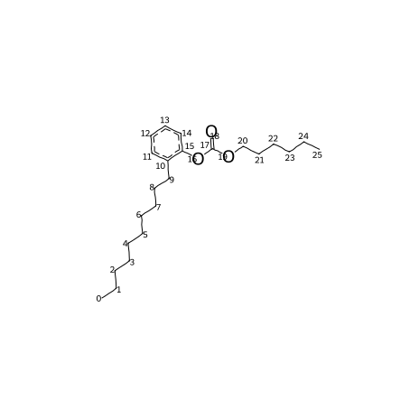 CCCCCCCCCCc1ccccc1OC(=O)OCCCCCC